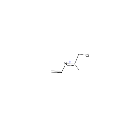 C=C/N=C(\C)CCl